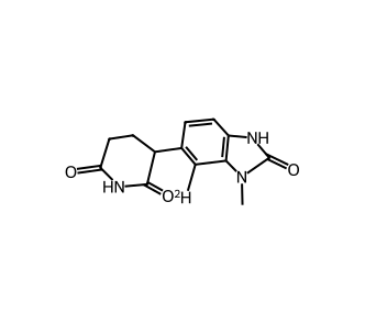 [2H]c1c(C2CCC(=O)NC2=O)ccc2[nH]c(=O)n(C)c12